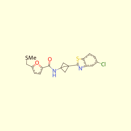 CSCc1ccc(C(=O)NC23CC(c4nc5cc(Cl)ccc5s4)(C2)C3)o1